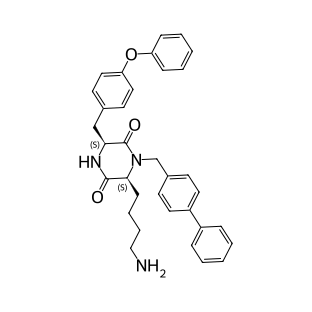 NCCCC[C@H]1C(=O)N[C@@H](Cc2ccc(Oc3ccccc3)cc2)C(=O)N1Cc1ccc(-c2ccccc2)cc1